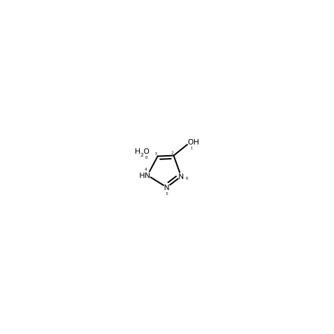 O.Oc1c[nH]nn1